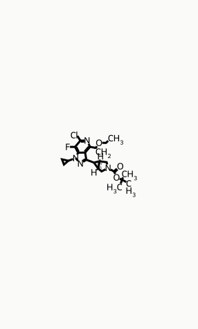 C=C(OCC)c1nc(Cl)c(F)c2c1c(C1[C@H]3CN(C(=O)OC(C)(C)C)C[C@@H]13)nn2C1CC1